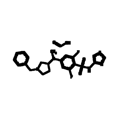 CN(c1cc(F)c(S(=O)(=O)Nc2cscn2)c(F)c1)C1CCN(Cc2ccccc2)C1.O=CO